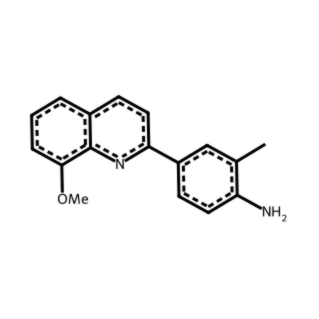 COc1cccc2ccc(-c3ccc(N)c(C)c3)nc12